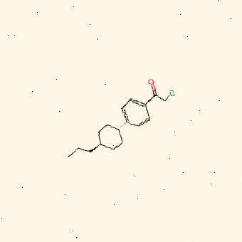 CCC[C@H]1CC[C@H](c2ccc(C(=O)CCl)cc2)CC1